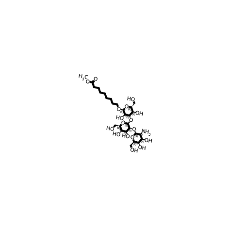 COC(=O)CCCCCCCCO[C@H]1O[C@H](CO)[C@@H](O)[C@H](O[C@@H]2O[C@H](CO)[C@@H](O)[C@H](O)[C@H]2O[C@@H]2O[C@H](CO)[C@@H](O)[C@H](O)[C@@H]2N)[C@H]1O